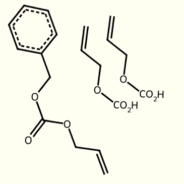 C=CCOC(=O)O.C=CCOC(=O)O.C=CCOC(=O)OCc1ccccc1